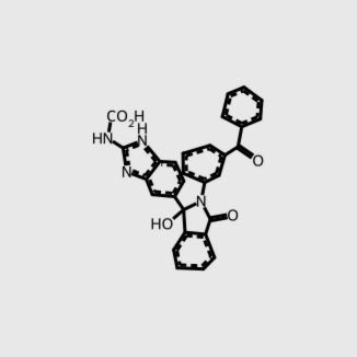 O=C(O)Nc1nc2cc(C3(O)c4ccccc4C(=O)N3c3cccc(C(=O)c4ccccc4)c3)ccc2[nH]1